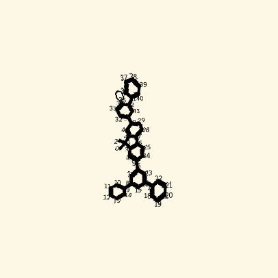 CC1(C)c2cc(-c3cc(-c4ccccc4)cc(-c4ccccc4)c3)ccc2-c2ccc(-c3ccc4oc5ccccc5c4c3)cc21